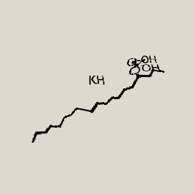 CCCCCCCCCCCCCCCC(CCC)OP(=O)(O)O.[KH]